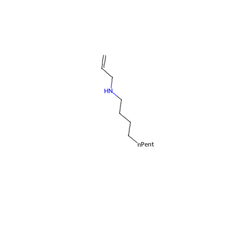 C=CCNCCCCCCCCC